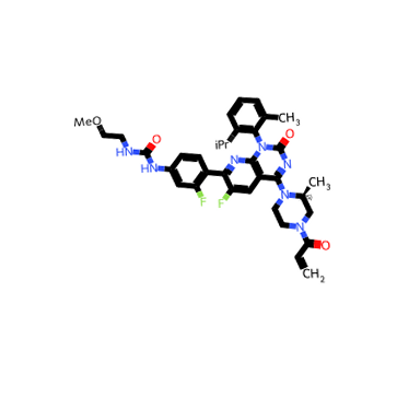 C=CC(=O)N1CCN(c2nc(=O)n(-c3c(C)cccc3C(C)C)c3nc(-c4ccc(NC(=O)NCCOC)cc4F)c(F)cc23)[C@@H](C)C1